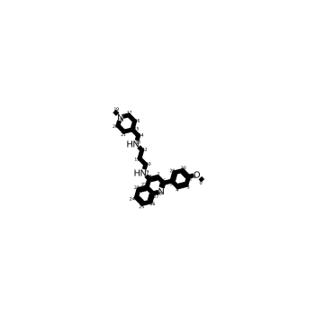 COc1ccc(-c2cc(NCCCNCC3CCN(C)CC3)c3ccccc3n2)cc1